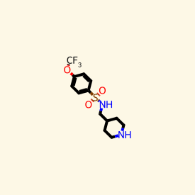 O=S(=O)(NCC1CCNCC1)c1ccc(OC(F)(F)F)cc1